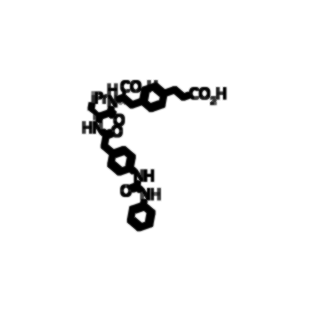 CC(C)C[C@H](NC(=O)Cc1ccc(NC(=O)Nc2ccccc2)cc1)C(=O)N[C@@H](Cc1ccc(CCC(=O)O)cc1)C(=O)O